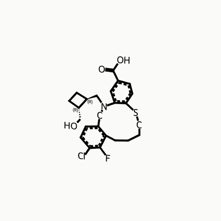 O=C(O)c1ccc2c(c1)N(C[C@@H]1CC[C@H]1CO)Cc1ccc(Cl)c(F)c1CCCCS2